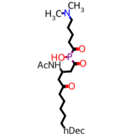 CCCCCCCCCCCCCCCC(=O)CC(CC(=O)P(O)C(=O)CCCCN(C)C)NC(C)=O